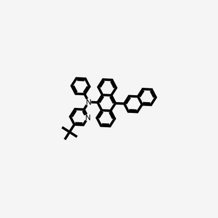 CC(C)(C)c1ccc(N(c2ccccc2)c2c3ccccc3c(-c3ccc4ccccc4c3)c3ccccc23)nc1